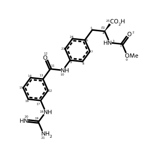 COC(=O)N[C@@H](Cc1ccc(NC(=O)c2cccc(NC(=N)N)c2)cc1)C(=O)O